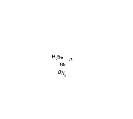 [BeH2].[BiH3].[Nb].[Tl]